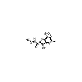 Cc1cc2c(c([N+](=O)[O-])c1)SC(C(=O)NCC#N)N2O